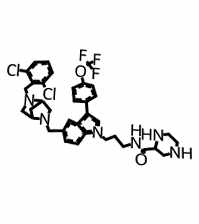 O=C(NCCCn1cc(-c2ccc(OC(F)(F)F)cc2)c2cc(CN3CC4CC3CN4Cc3c(Cl)cccc3Cl)ccc21)C1CNCCN1